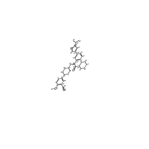 COc1ccc(C2CCC(CN(C(=O)C3CCCCC3)c3cccc(-c4cnn(C(C)C)c4)c3)CC2)cc1C#N